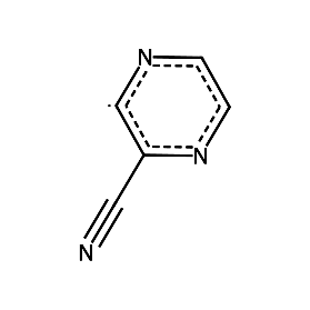 N#Cc1[c]nccn1